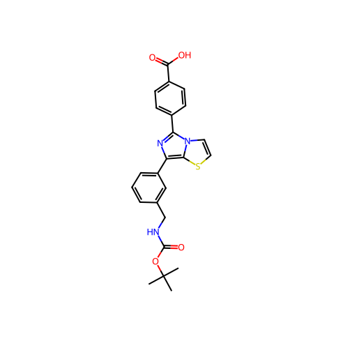 CC(C)(C)OC(=O)NCc1cccc(-c2nc(-c3ccc(C(=O)O)cc3)n3ccsc23)c1